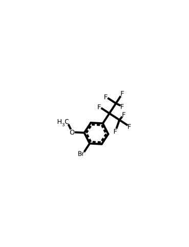 COc1cc(C(F)(C(F)(F)F)C(F)(F)F)ccc1Br